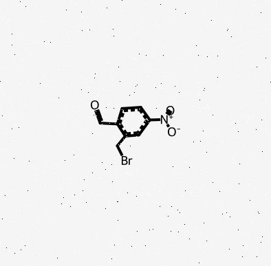 O=Cc1ccc([N+](=O)[O-])cc1CBr